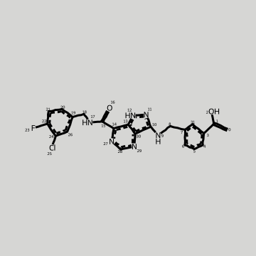 C=C(O)c1cccc(CNc2n[nH]c3c(C(=O)NCc4ccc(F)c(Cl)c4)ncnc23)c1